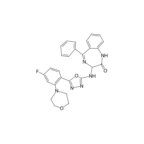 O=C1Nc2ccccc2C(c2ccccc2)=NC1Nc1nnc(-c2ccc(F)cc2N2CCOCC2)o1